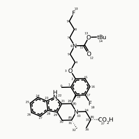 Cc1c(OCCN(CCCF)C(=O)OC(C)(C)C)ccc(F)c1[C@@H]1c2[nH]c3ccccc3c2C[C@@H](C)N1C[C@@H](C)C(=O)O